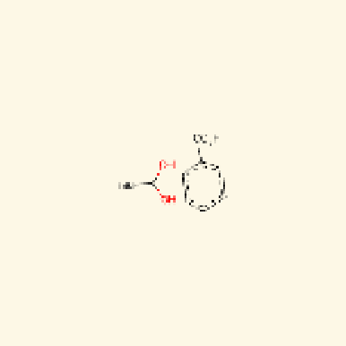 CCC(C)C(O)O.O=C(O)c1ccccc1